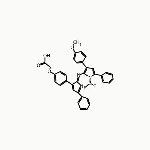 COc1ccc(-c2cc(-c3ccccc3)n(B(F)F)c2/N=C2\N=C(c3ccccc3)C=C2c2ccc(OCC(=O)O)cc2)cc1